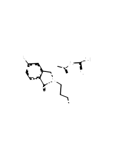 N=C(N)NC(=O)C[C@H]1c2cc(Cl)ccc2C(=O)N1CCCC(F)(F)F